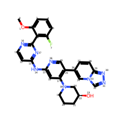 COc1cccc(F)c1-c1nccc(Nc2cc(N3CCC[C@H](O)C3)c(-c3ccc4nncn4c3)cn2)n1